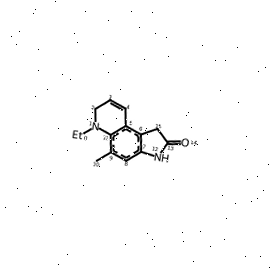 CCN1CC=Cc2c3c(cc(C)c21)NC(=O)C3